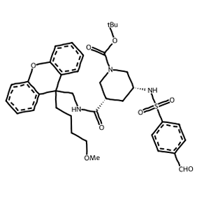 COCCCCC1(CNC(=O)[C@H]2C[C@@H](NS(=O)(=O)c3ccc(C=O)cc3)CN(C(=O)OC(C)(C)C)C2)c2ccccc2Oc2ccccc21